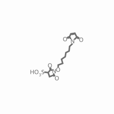 O=C1C=CC(=O)N1CCCCCCCCON1C(=O)CC(S(=O)(=O)O)C1=O